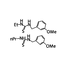 CCCNC(=S)NCc1cccc(OC)c1.CCNC(=S)NCc1cccc(OC)c1